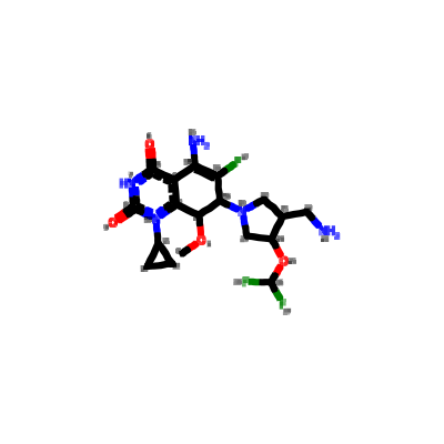 COC1c2c(c(=O)[nH]c(=O)n2C2CC2)C(N)=C(F)C1N1CC(CN)C(OC(F)F)C1